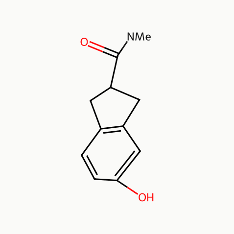 CNC(=O)C1Cc2ccc(O)cc2C1